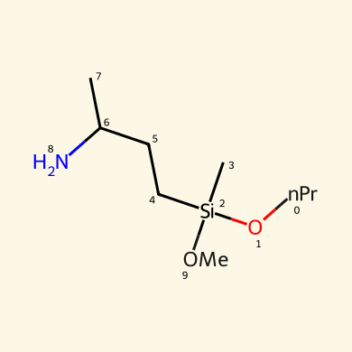 CCCO[Si](C)(CCC(C)N)OC